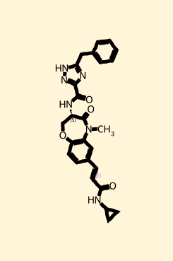 CN1C(=O)[C@@H](NC(=O)c2n[nH]c(Cc3ccccc3)n2)COc2ccc(/C=C/C(=O)NC3CC3)cc21